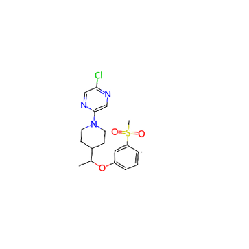 CC(Oc1cc[c]c(S(C)(=O)=O)c1)C1CCN(c2cnc(Cl)cn2)CC1